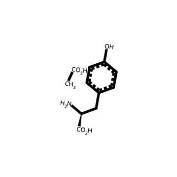 CC(=O)O.N[C@@H](Cc1ccc(O)cc1)C(=O)O